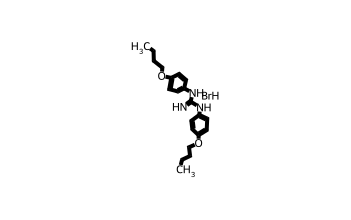 Br.CCCCOc1ccc(NC(=N)Nc2ccc(OCCCC)cc2)cc1